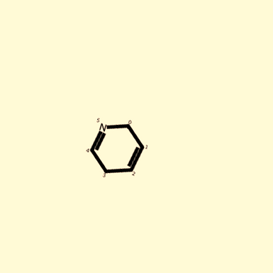 [CH]1C=CCC=N1